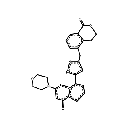 O=C1OCCc2c(Cn3cc(-c4cccc5c(=O)cc(N6CCOCC6)[nH]c45)nn3)cccc21